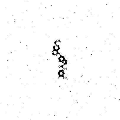 CCN1CCc2c(ncnc2Oc2ccc3c(ccn3C(=O)Nc3ccc(F)c(C)c3)c2)C1